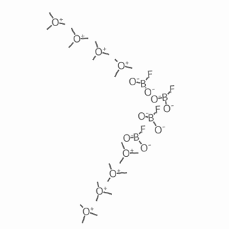 C[O+](C)C.C[O+](C)C.C[O+](C)C.C[O+](C)C.C[O+](C)C.C[O+](C)C.C[O+](C)C.C[O+](C)C.[O-]B([O-])F.[O-]B([O-])F.[O-]B([O-])F.[O-]B([O-])F